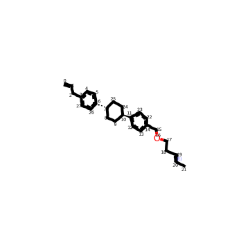 C=CCc1ccc([C@H]2CC[C@H](c3ccc(COCC/C=C/C)cc3)CC2)cc1